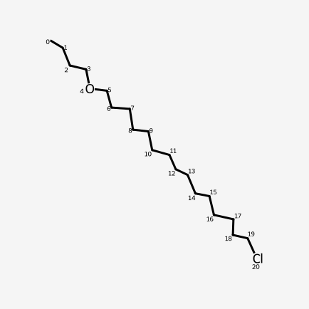 CCCCOCCCCCCCCCCCCCCCCl